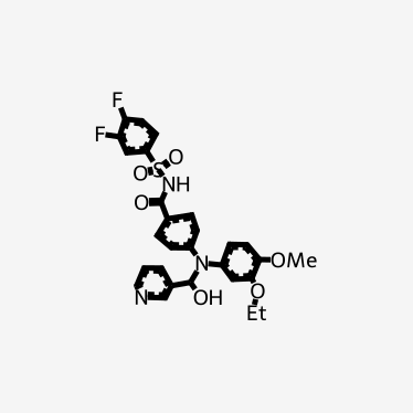 CCOc1cc(N(c2ccc(C(=O)NS(=O)(=O)c3ccc(F)c(F)c3)cc2)C(O)c2cccnc2)ccc1OC